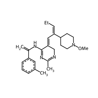 C=C(NC1=NC(C)=NC/C1=C\C(=C/CC)C1CCN(OC)CC1)c1cccc(C)c1